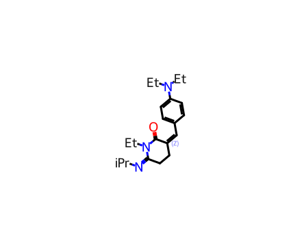 CCN1C(=O)/C(=C\c2ccc(N(CC)CC)cc2)CCC1=NC(C)C